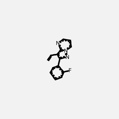 C=Cc1c(-c2ccccc2F)nn2cccnc12